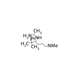 CNCCCC(NC(C)N)C(C)(C)C(C)C